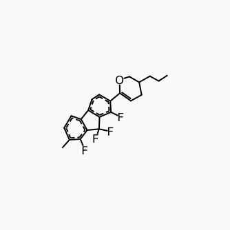 CCCC1CC=C(c2ccc3c(c2F)C(F)(F)c2c-3ccc(C)c2F)OC1